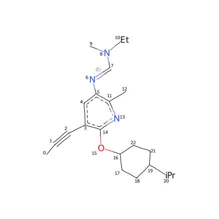 CC#Cc1cc(/N=C/N(C)CC)c(C)nc1OC1CCC(C(C)C)CC1